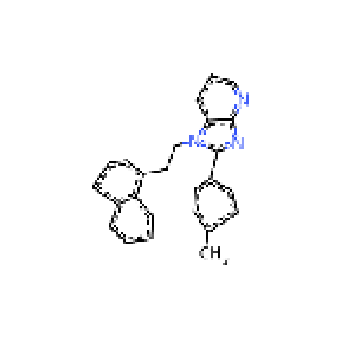 Cc1ccc(-c2nc3ncccc3n2CCc2cccc3ccccc23)cc1